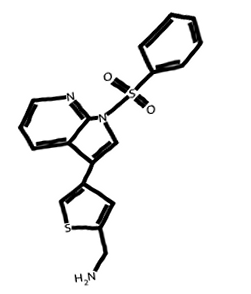 NCc1cc(-c2cn(S(=O)(=O)c3ccccc3)c3ncccc23)cs1